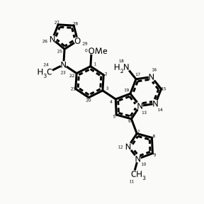 COc1cc(-c2cc(-c3ccn(C)n3)n3ncnc(N)c23)ccc1N(C)c1ncco1